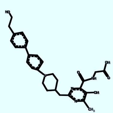 Cc1nc(CC2CCN(c3ccc(-c4ccc(CCO)cc4)cc3)CC2)nc(C(=O)NCC(=O)O)c1O